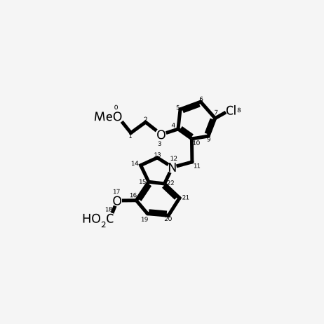 COCCOc1ccc(Cl)cc1CN1CCc2c(OC(=O)O)cccc21